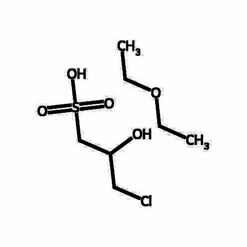 CCOCC.O=S(=O)(O)CC(O)CCl